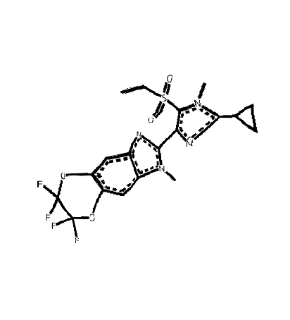 CCS(=O)(=O)c1c(-c2nc3cc4c(cc3n2C)OC(F)(F)C(F)(F)O4)nc(C2CC2)n1C